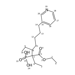 CCOC(=O)C(CC)(C(CC)CCCCc1cccnc1)P(=O)(O)O